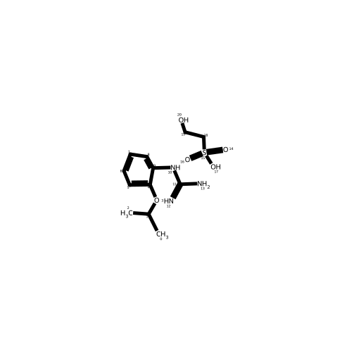 CC(C)Oc1ccccc1NC(=N)N.O=S(=O)(O)CCO